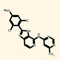 CSc1cc(Cl)c(-c2nc3ccnc(Nc4cc(C)ncn4)c3[nH]2)c(Cl)c1